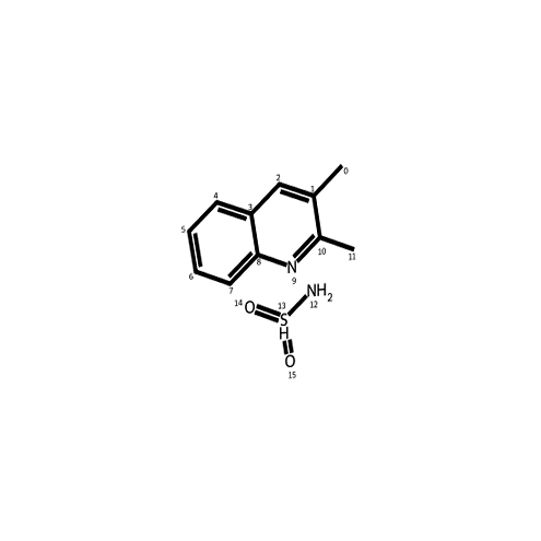 Cc1cc2ccccc2nc1C.N[SH](=O)=O